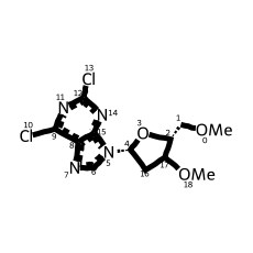 COC[C@H]1O[C@@H](n2cnc3c(Cl)nc(Cl)nc32)CC1OC